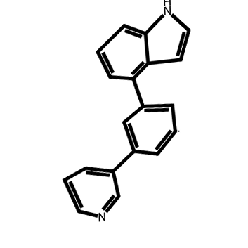 [c]1cc(-c2cccnc2)cc(-c2cccc3[nH]ccc23)c1